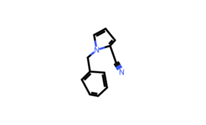 N#Cc1cccn1Cc1ccccc1